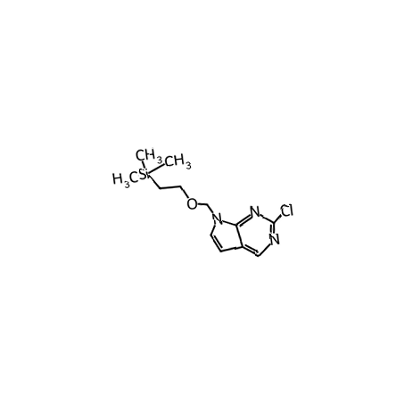 C[Si](C)(C)CCOCn1ccc2cnc(Cl)nc21